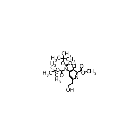 COC(=O)c1nc(CCO)cc(N(C(=O)OC(C)(C)C)C(=O)OC(C)(C)C)c1Cl